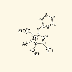 CCOC(=O)C1C(C(C)=O)C2(OCC)OC1(Cc1ccccc1)N=C2C